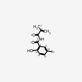 C=C(C)C(=O)NC(=O)c1cc(I)ccc1O